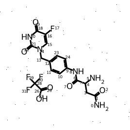 NC(=O)CC(N)C(=O)Nc1ccc(Cn2cc(F)c(=O)[nH]c2=O)cc1.O=C(O)C(F)(F)F